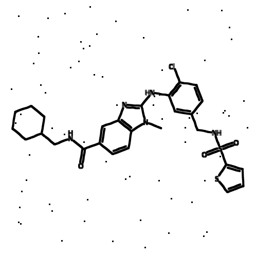 Cn1c(Nc2cc(CNS(=O)(=O)c3cccs3)ccc2Cl)nc2cc(C(=O)NCC3CCCCC3)ccc21